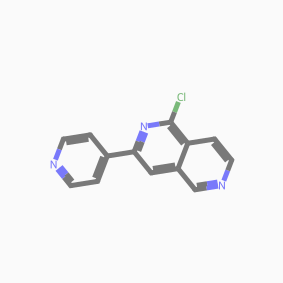 Clc1nc(-c2ccncc2)cc2cnccc12